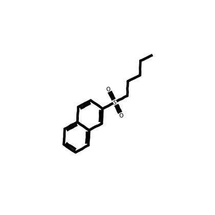 CCCCCS(=O)(=O)c1ccc2ccccc2c1